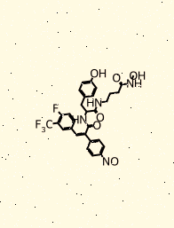 O=Nc1ccc(/C(=C/c2ccc(F)c(C(F)(F)F)c2)C(=O)NC(Cc2ccc(O)cc2)C(=O)NCCCC(=O)NO)cc1